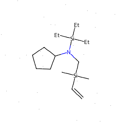 C=C[Si](C)(C)CN(C1CCCC1)[Si](CC)(CC)CC